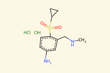 CNCc1cc(N)ccc1S(=O)(=O)C1CC1.Cl.Cl